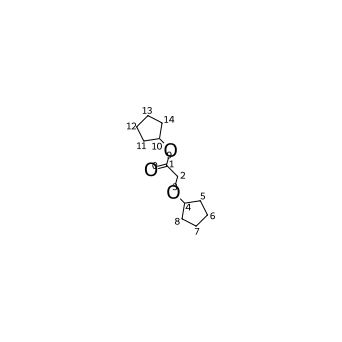 O=C(COC1CCCC1)OC1CCCC1